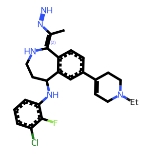 CCN1CC=C(c2ccc3c(c2)C(Nc2cccc(Cl)c2F)CCN/C3=C(/C)N=N)CC1